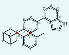 Cc1cccc(CN2C3CC2CN(c2ccc(-c4ncnc5[nH]ccc45)cn2)C3)n1